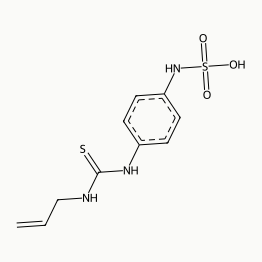 C=CCNC(=S)Nc1ccc(NS(=O)(=O)O)cc1